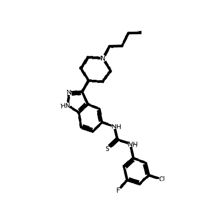 CCCCN1CCC(c2n[nH]c3ccc(NC(=S)Nc4cc(F)cc(Cl)c4)cc23)CC1